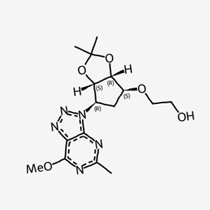 COc1nc(C)nc2c1nnn2[C@@H]1C[C@H](OCCO)[C@H]2OC(C)(C)O[C@H]21